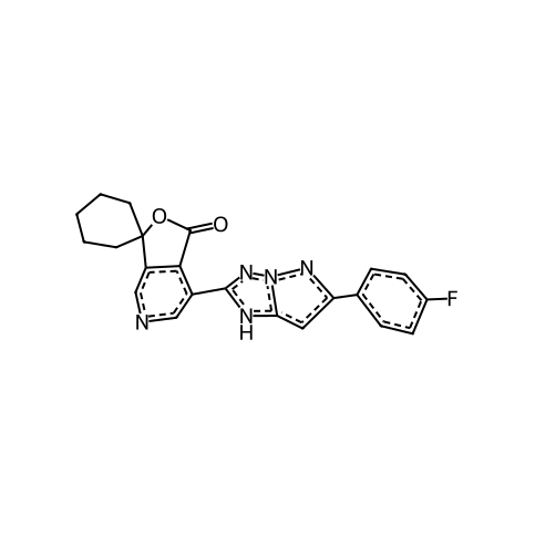 O=C1OC2(CCCCC2)c2cncc(-c3nn4nc(-c5ccc(F)cc5)cc4[nH]3)c21